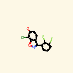 [O]c1ccc2c(-c3cccc(F)c3F)noc2c1Cl